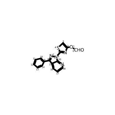 O=COc1csc(-n2nc(-c3ccccc3)c3cccnc32)n1